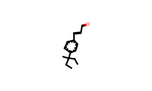 CCC(C)(CC)c1ccc(/C=C/C=O)cc1